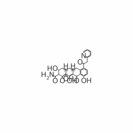 NC(=O)C1C(=O)[C@@]2(O)C(O)=C3C(=O)c4c(O)ccc(C(=O)Cc5ccccn5)c4C[C@H]3C[C@H]2CC1O